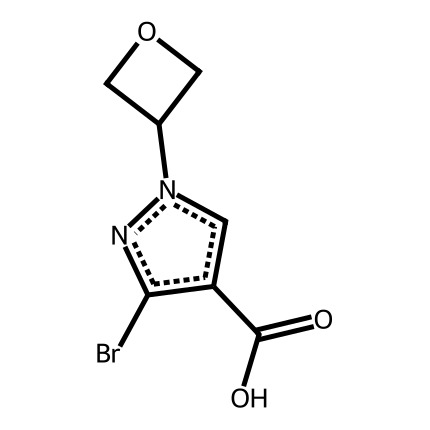 O=C(O)c1cn(C2COC2)nc1Br